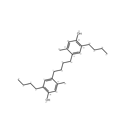 CCCCc1cc(CCCCc2cc(CCCC)c(O)cc2C)c(C)cc1O